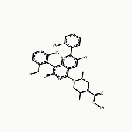 CC(C)c1ccccc1-c1nc2c(cc1Cl)c(N1CC(C)N(C(=O)OC(C)(C)C)CC1C)nc(=O)n2-c1c(CO)cccc1C(C)C